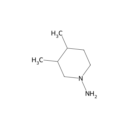 CC1CCN(N)CC1C